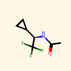 CC(=O)N[C@H](C1CC1)C(F)(F)F